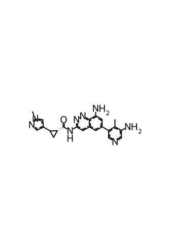 Cc1c(N)cncc1-c1cc(N)c2nnc(NC(=O)[C@@H]3CC3c3cnn(C)c3)cc2c1